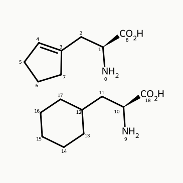 N[C@@H](CC1=CCCC1)C(=O)O.N[C@@H](CC1CCCCC1)C(=O)O